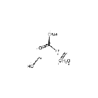 C=O.CCC(=O)OC.CO.O